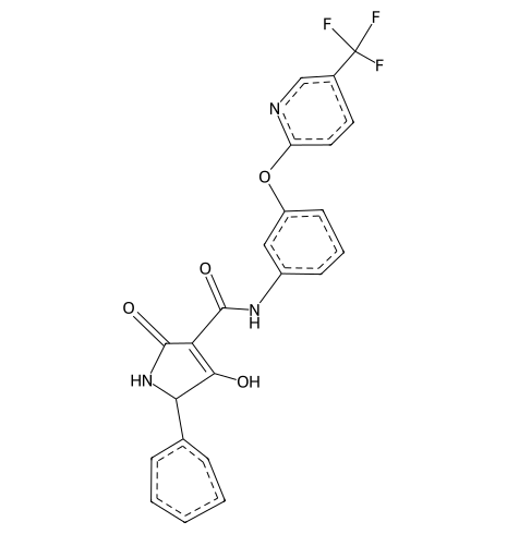 O=C(Nc1cccc(Oc2ccc(C(F)(F)F)cn2)c1)C1=C(O)C(c2ccccc2)NC1=O